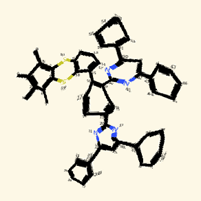 Cc1c(C)c(C)c2c(c1C)Sc1cccc(-c3ccc(-c4nc(-c5ccccc5)cc(-c5ccccc5)n4)cc3-c3nc(-c4ccccc4)cc(-c4ccccc4)n3)c1S2